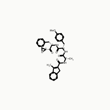 COc1ccc(C[C@H](NC(=O)[C@H](C)NC(=O)C2=C(C)c3ccccc3C2)C(=O)N[C@@H](Cc2ccccc2)C(=O)[C@H]2CO2)cc1